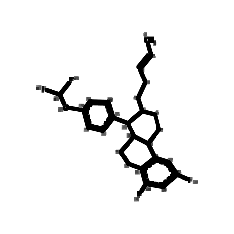 CC=CCCC1CCC2c3cc(F)cc(F)c3CCC2C1c1ccc(OC(F)F)cc1